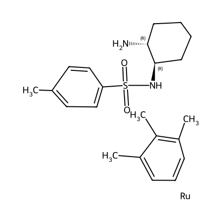 Cc1ccc(S(=O)(=O)N[C@@H]2CCCC[C@H]2N)cc1.Cc1cccc(C)c1C.[Ru]